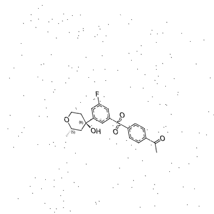 CC(=O)c1ccc(S(=O)(=O)c2cc(F)cc([C@@]3(O)CCO[C@@H](C)C3)c2)cc1